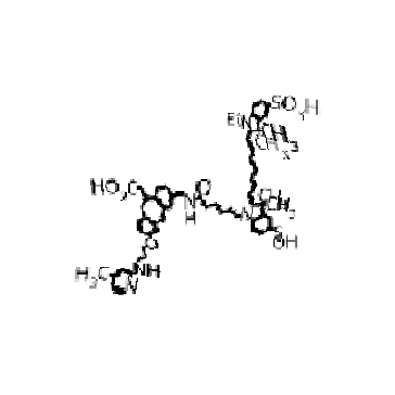 CC[N+]1=C(/C=C/C=C/C=C/C=C2/N(CCCCCC(=O)NCc3ccc4c(c3)Cc3cc(OCCCNc5cc(C)ccn5)ccc3CC4CC(=O)O)C3=C(CC(SO)C=C3)C2(C)C)C(C)(C)c2cc(S(=O)(=O)O)ccc21